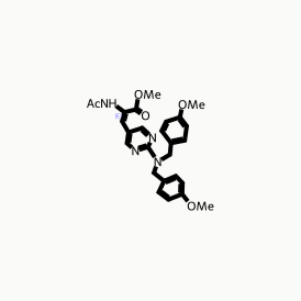 COC(=O)/C(=C\c1cnc(N(Cc2ccc(OC)cc2)Cc2ccc(OC)cc2)nc1)NC(C)=O